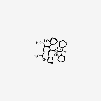 CC(C)c1cc(C(C)C)c(-c2ccccc2P)c(C(C)C)c1-c1ccccc1.[Cl][Pd]([Cl])([CH]1CCCCC1)[CH]1CCCCC1